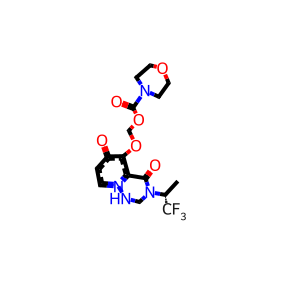 C[C@@H](N1CNn2ccc(=O)c(OCOC(=O)N3CCOCC3)c2C1=O)C(F)(F)F